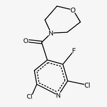 O=C(c1cc(Cl)nc(Cl)c1F)N1CCOCC1